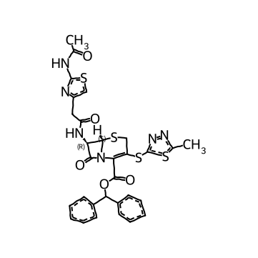 CC(=O)Nc1nc(CC(=O)N[C@@H]2C(=O)N3C(C(=O)OC(c4ccccc4)c4ccccc4)=C(Sc4nnc(C)s4)CS[C@@H]23)cs1